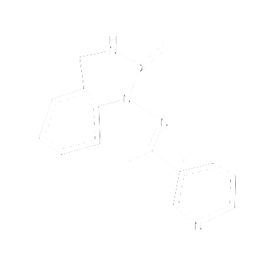 CC(=NN1C(=O)NCc2ccccc21)c1cccnc1